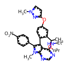 CCCOC(C)c1cc(Oc2ccn(C)n2)ccc1-c1c(-c2ccc([N+](=O)[O-])cc2)n(C)c2ncnc(NCC)c12